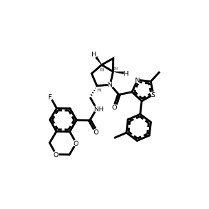 Cc1cccc(-c2sc(C)nc2C(=O)N2[C@H](CNC(=O)c3cc(F)cc4c3OCOC4)C[C@@H]3C[C@@H]32)c1